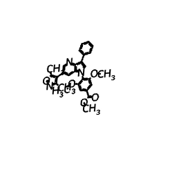 COC(=O)c1cc(OC)c(-n2cc(-c3ccccc3)c3ncc(-c4c(C)noc4C)cc32)c(OC)c1